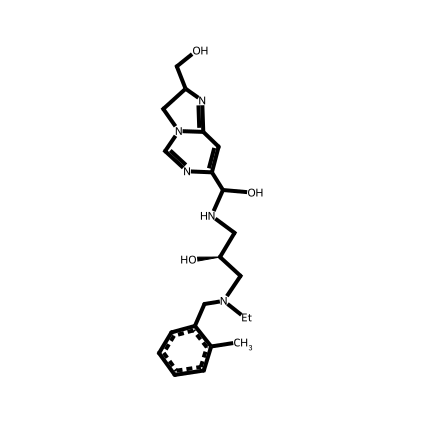 CCN(Cc1ccccc1C)C[C@@H](O)CNC(O)C1=CC2=NC(CO)CN2C=N1